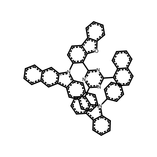 c1ccc(-n2c3ccccc3c3cccc(-c4nc(-c5cccc6ccccc56)nc(-c5c(-n6c7cc8ccccc8cc7c7cc8ccccc8cc76)ccc6c5oc5ccccc56)n4)c32)cc1